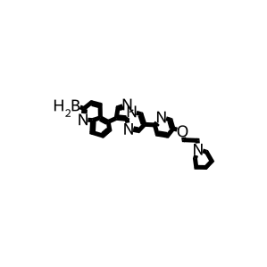 Bc1ccc2c(-c3cnn4cc(-c5ccc(OCCN6CCCCC6)cn5)cnc34)cccc2n1